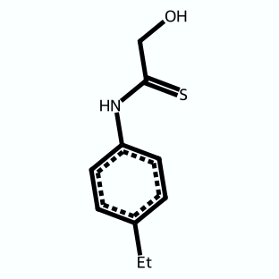 CCc1ccc(NC(=S)CO)cc1